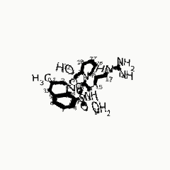 CC1CNc2c(cccc2S(=O)(=O)N[C@@H](CCCNC(=N)N)C(=O)N2CCCCC2C(=O)O)C1.O